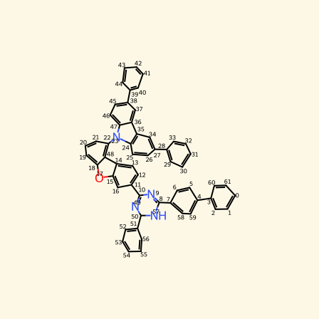 c1ccc(-c2ccc(C3=NC(c4ccc5c(c4)oc4cccc(-n6c7ccc(-c8ccccc8)cc7c7cc(-c8ccccc8)ccc76)c45)=NC(c4ccccc4)N3)cc2)cc1